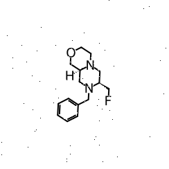 FC[C@@H]1CN2CCOC[C@@H]2CN1Cc1ccccc1